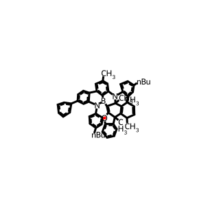 CCCCc1ccc(N2B3C4=C5Oc6ccccc6C5(C)C5=C6C(C)(C=CC5C)c5cc(CCCC)ccc5N(c5cc(C)cc(c53)-c3ccc(-c5ccccc5)cc32)C46C)cc1